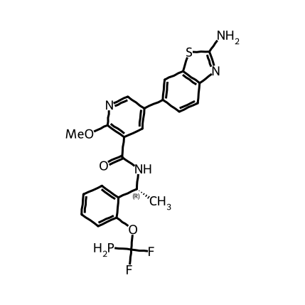 COc1ncc(-c2ccc3nc(N)sc3c2)cc1C(=O)N[C@H](C)c1ccccc1OC(F)(F)P